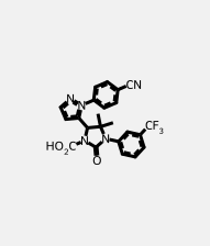 CC1(C)C(c2ccnn2-c2ccc(C#N)cc2)N(C(=O)O)C(=O)N1c1cccc(C(F)(F)F)c1